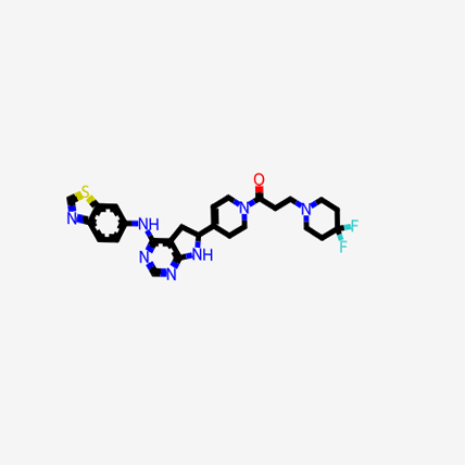 O=C(CCN1CCC(F)(F)CC1)N1CC=C(C2Cc3c(Nc4ccc5ncsc5c4)ncnc3N2)CC1